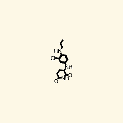 CCCNc1ccc(NC2CCC(=O)NC2=O)cc1Cl